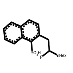 CCCCCCC(F)Cc1ccc2ccccc2c1S(=O)(=O)O